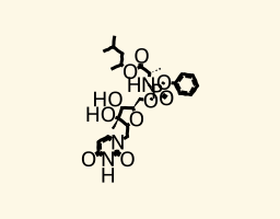 CC(C)CC(C)OC(=O)[C@H](C)N[P@@](=O)(OC[C@H]1OC(Cn2ccc(=O)[nH]c2=O)[C@](C)(O)[C@@H]1O)Oc1ccccc1